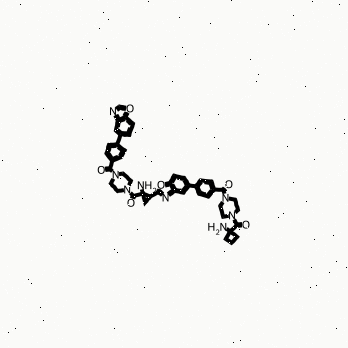 NC1(C(=O)N2CCN(C(=O)c3ccc(-c4ccc5oc(C6CC6(N)C(=O)N6CCN(C(=O)c7ccc(-c8ccc9ocnc9c8)cc7)CC6)nc5c4)cc3)CC2)CCC1